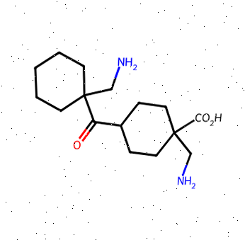 NCC1(C(=O)O)CCC(C(=O)C2(CN)CCCCC2)CC1